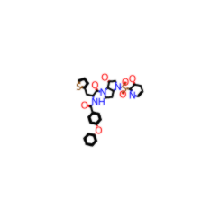 O=C1CC=CN=C1S(=O)(=O)N1CC(=O)C2C1CCN2C(=O)C(Cc1cccs1)NC(=O)c1ccc(Oc2ccccc2)cc1